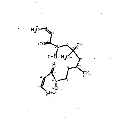 C/C=C\C(=O)N(C=O)CC(C)(C)CC(C)CCN(C)C(=O)/C=C\C=O